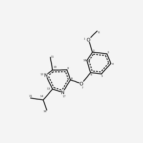 COc1cccc(Oc2cc(C)nc(C(C)C)n2)c1